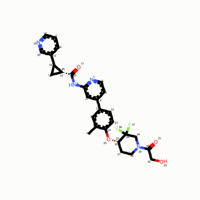 Cc1cc(-c2ccnc(NC(=O)[C@@H]3CC3c3cccnc3)c2)ccc1O[C@H]1CCN(C(=O)CO)CC1(F)F